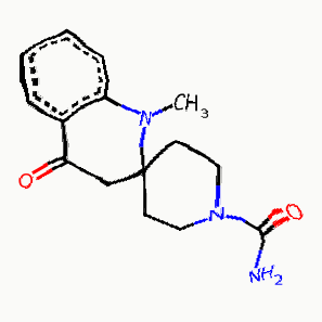 CN1c2ccccc2C(=O)CC12CCN(C(N)=O)CC2